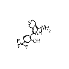 Nc1[nH]c(-c2ccc(C(F)(F)F)cc2O)c2c1CCSC2